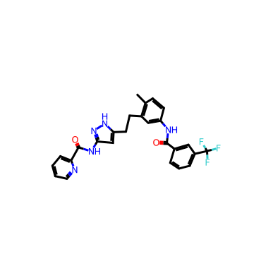 Cc1ccc(NC(=O)c2cccc(C(F)(F)F)c2)cc1CCc1cc(NC(=O)c2ccccn2)n[nH]1